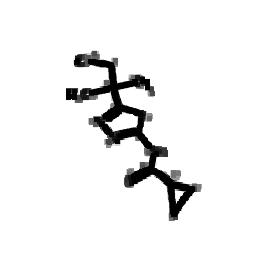 CC(C)(CCl)c1nnc(NC(=O)C2CC2)s1